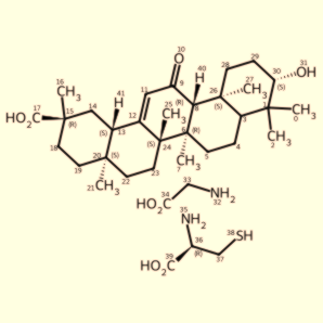 CC1(C)C2CC[C@]3(C)[C@H](C(=O)C=C4[C@H]5C[C@](C)(C(=O)O)CC[C@]5(C)CC[C@]43C)[C@@]2(C)CC[C@@H]1O.NCC(=O)O.N[C@@H](CS)C(=O)O